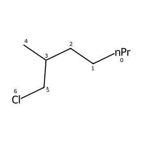 CCCCCC(C)[CH]Cl